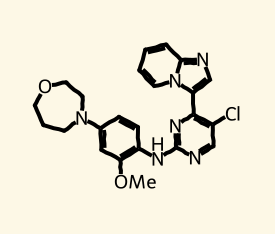 COc1cc(N2CCCOCC2)ccc1Nc1ncc(Cl)c(-c2cnc3ccccn23)n1